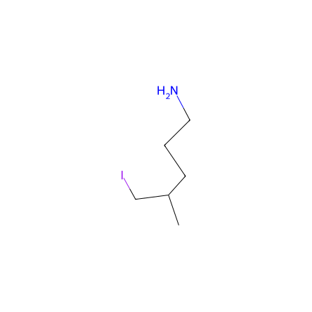 CC(CI)CCCN